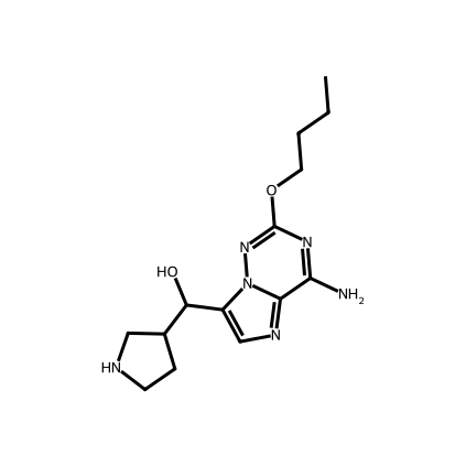 CCCCOc1nc(N)c2ncc(C(O)C3CCNC3)n2n1